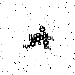 C=S(=O)(c1cc2c(cc1OC1CCOCC1)C(C)(C)c1[nH]c3cc(N)ccc3c1C2=O)N1CCN(C)CC1